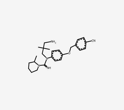 CC1CCCCN1C(=N)N(CC(C)(C)CN)c1ccc(OCc2ccc(C#N)cc2)cc1